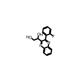 OCC(O)c1nc2ccccc2nc1-c1ccccc1F